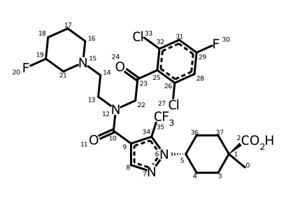 C[C@]1(C(=O)O)CC[C@H](n2ncc(C(=O)N(CCN3CCCC(F)C3)CC(=O)c3c(Cl)cc(F)cc3Cl)c2C(F)(F)F)CC1